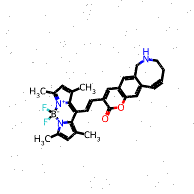 CC1=CC(C)=[N+]2C1=C(/C=C/c1cc3cc4c(cc3oc1=O)C#CCCNC4)c1c(C)cc(C)n1[B-]2(F)F